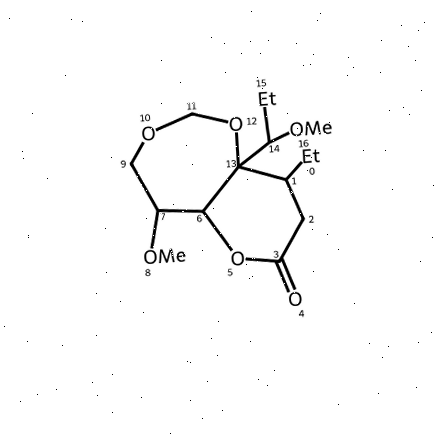 CCC1CC(=O)OC2C(OC)COCOC12C(CC)OC